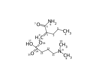 C=C(CCC)C(N)=O.CN(C)CCCS(=O)(=O)O